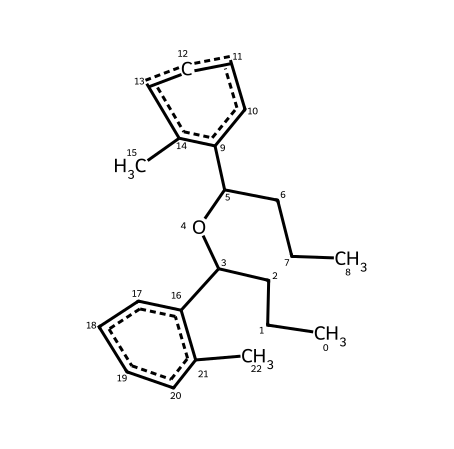 CCCC(OC(CCC)c1ccccc1C)c1ccccc1C